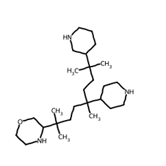 CC(C)(CCC(C)(CCC(C)(C)C1COCCN1)C1CCNCC1)C1CCCNC1